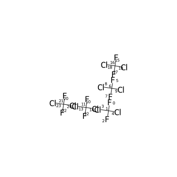 FC(F)(Cl)Cl.FC(F)(Cl)Cl.FC(F)(Cl)Cl.FC(F)(Cl)Cl.FC(F)(Cl)Cl